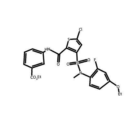 CCOC(=O)c1cccc(NC(=O)c2sc(Cl)cc2S(=O)(=O)N(C)c2ccc(OCC)cc2F)c1